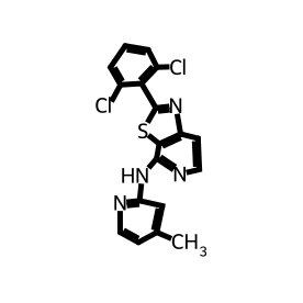 Cc1ccnc(Nc2nccc3nc(-c4c(Cl)cccc4Cl)sc23)c1